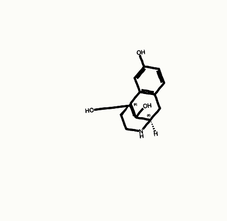 Oc1ccc2c(c1)[C@]13CCN[C@H](C2)C1(O)CCC(O)C3